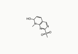 CN1c2nc(S(C)(=O)=O)ncc2C=CC1O